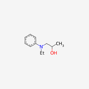 CCN(CC(C)O)c1ccccc1